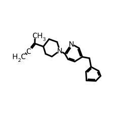 C=C=C(C)C1CCN(c2ccc(Cc3ccccc3)cn2)CC1